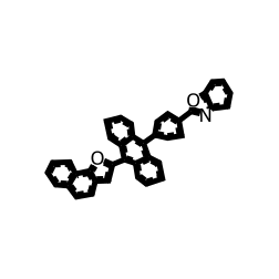 c1ccc2c(c1)ccc1cc(-c3c4ccccc4c(-c4ccc(-c5nc6ccccc6o5)cc4)c4ccccc34)oc12